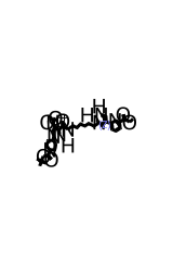 COC(=O)c1cccc(/C(C=N)=C/NCCCCCCNC(=O)c2nn(C3CCN(C(=O)OC(C)(C)C)CC3)cc2[N+](=O)[O-])n1